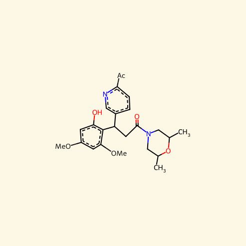 COc1cc(O)c(C(CC(=O)N2CC(C)OC(C)C2)c2ccc(C(C)=O)nc2)c(OC)c1